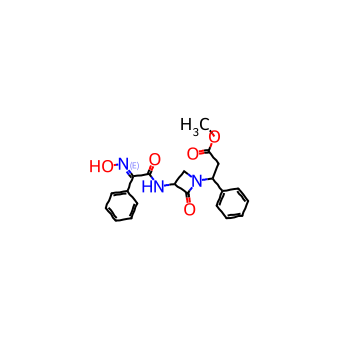 COC(=O)CC(c1ccccc1)N1CC(NC(=O)/C(=N/O)c2ccccc2)C1=O